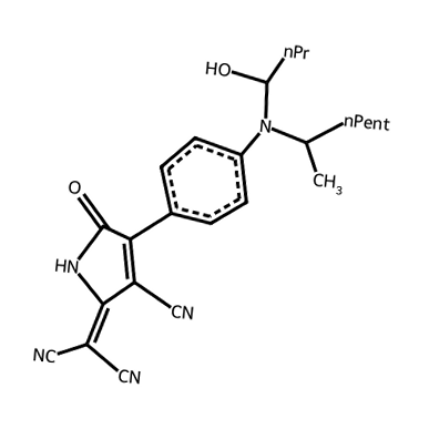 CCCCCC(C)N(c1ccc(C2=C(C#N)C(=C(C#N)C#N)NC2=O)cc1)C(O)CCC